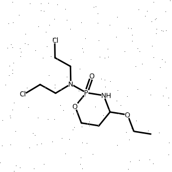 CCOC1CCOP(=O)(N(CCCl)CCCl)N1